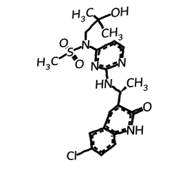 C[C@H](Nc1nccc(N(CC(C)(C)O)S(C)(=O)=O)n1)c1cc2cc(Cl)ccc2[nH]c1=O